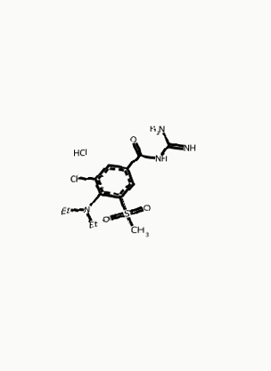 CCN(CC)c1c(Cl)cc(C(=O)NC(=N)N)cc1S(C)(=O)=O.Cl